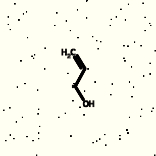 C=C[C]O